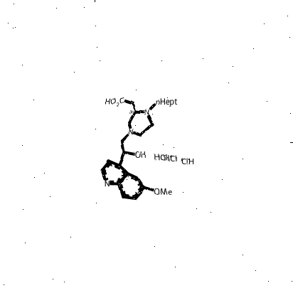 CCCCCCCN1CCN(CC(O)c2ccnc3ccc(OC)cc23)C[C@H]1CC(=O)O.Cl.Cl.Cl